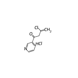 C=C(Cl)CC(=O)c1cccnc1.Cl